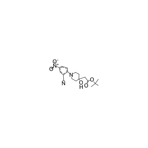 CC(C)(C)OC(=O)CC1(O)CCN(c2ccc([N+](=O)[O-])cc2C#N)CC1